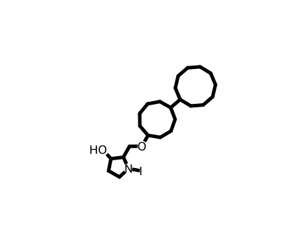 OC1CCN(I)C1COC1CCCCC(C2CCCCCCCCC2)CCC1